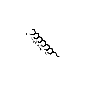 CCCC(CN)CC(CN)CC(CN)CC(CN)CC(CN)CC(CC)CN